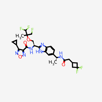 C[C@@H](NC(=O)CC1CC(F)(F)C1)c1ccc2nc([C@H](COC(C)(CF)C(F)F)NC(=O)c3nonc3C3CC3)[nH]c2c1